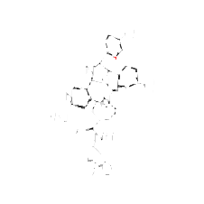 CCOc1cc(C(C)(C)C)ncc1C1=N[C@@](C)(c2ccc(Cl)cc2)[C@@](C)(c2ccc(Cl)cc2)N1C(=O)N1CCC(C(=O)NCCS(C)(=O)=O)CC1